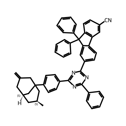 C=C1C[C@@H]2C[C@H](C)CC(c3ccc(-c4nc(-c5ccccc5)nc(-c5ccc6c(c5)C(c5ccccc5)(c5ccccc5)c5ccc(C#N)cc5-6)n4)cc3)(C1)C2